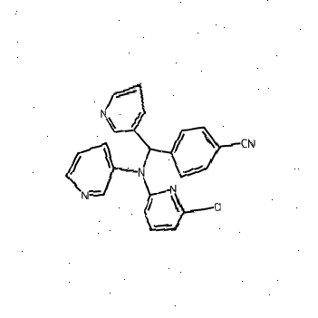 N#Cc1ccc(C(c2cccnc2)N(c2cccnc2)c2cccc(Cl)n2)cc1